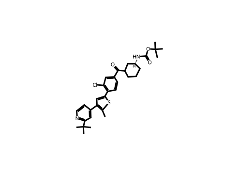 Cc1sc(-c2ccc(C(=O)C3CCC[C@@H](NC(=O)OC(C)(C)C)C3)cc2Cl)cc1-c1ccnc(C(C)(C)C)c1